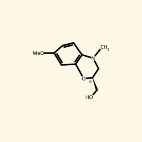 COc1ccc2c(c1)O[C@H](CO)CN2C